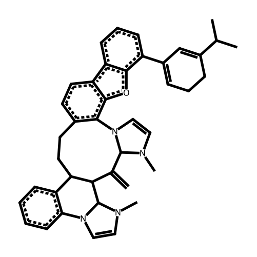 C=C1C2C(CCc3ccc4c(oc5c(C6=CCCC(C(C)C)=C6)cccc54)c3N3C=CN(C)C13)c1ccccc1N1C=CN(C)C21